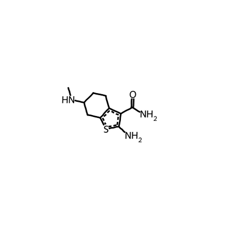 CNC1CCc2c(sc(N)c2C(N)=O)C1